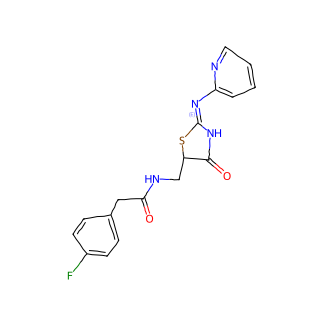 O=C(Cc1ccc(F)cc1)NCC1S/C(=N/c2ccccn2)NC1=O